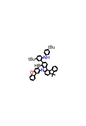 CC(C)(C)c1ccc(Nc2ccc(C(C)(C)C)cc2-c2ccc3c4c5c(ccc4n4c3c2Bc2cc3oc6ccccc6c3cc2-4)C(C)(C)c2ccccc2-5)cc1